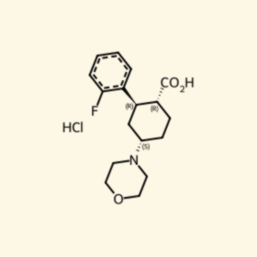 Cl.O=C(O)[C@@H]1CC[C@H](N2CCOCC2)C[C@H]1c1ccccc1F